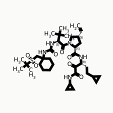 C=C[C@@H]1C[C@@H](C(=O)N[C@H](CCC2CC2)C(=O)C(=O)NC2CC2)N(C(=O)[C@@H](NC(=O)NC2(CS(=O)(=O)C(C)(C)C)CCCCC2)C(C)(C)C)C1